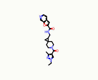 CCn1cc(C(=O)N2CCC3(CC2)CC3CNC(=O)c2cc3ccncc3o2)c(C)n1